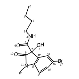 CCCCNC(=O)C1(O)C(=O)N(C)c2ccc(Br)cc21